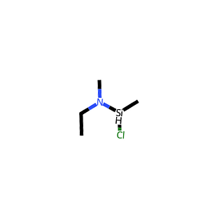 CCN(C)[SiH](C)Cl